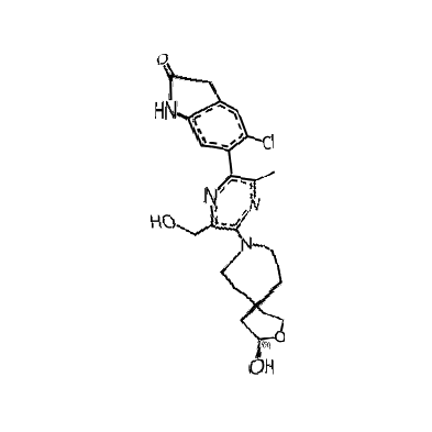 Cc1nc(N2CCC3(CC2)CO[C@@H](O)C3)c(CO)nc1-c1cc2c(cc1Cl)CC(=O)N2